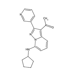 CC(=O)c1c(-c2cccnc2)nn2c(NC3CCCC3)cccc12